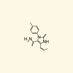 C=C(N)C1=C(/C=C\C)NC(=C)N1c1ccc(C)cc1